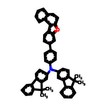 CC1(C)c2ccccc2-c2cc(N(c3ccc(-c4ccc5c(c4)oc4ccc6ccccc6c45)cc3)c3ccc4c(c3)C(C)(C)c3ccccc3-4)ccc21